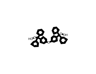 OOC(c1ccccc1)(c1ccccc1)c1ccc(Oc2ccc(C(OO)(c3ccccc3)c3ccccc3)cc2)cc1